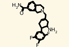 NC(=O)c1ccc2c(c1)CN(CC1=CCC(c3cc(F)c(F)cc3F)C(N)C1)CC2